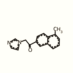 Cc1cccc2cc(C(=O)Cn3ccnc3)ccc12